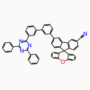 N#Cc1ccc2c(c1)-c1cc(-c3cccc(-c4cccc(-c5nc(-c6ccccc6)nc(-c6ccccc6)n5)c4)c3)ccc1C21c2ccccc2Oc2ccccc21